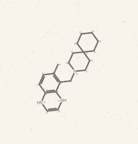 Cc1ccc2c(c1CN1CCC3(CCCCC3)CC1)NC=CN2